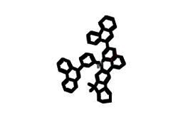 CC1(C)c2ccccc2-c2cc(-c3ccccc3)c(N(c3cccc(-c4cc5ccccc5c5ccccc45)c3)c3cccc(-c4cc5ccccc5c5ccccc45)c3)cc21